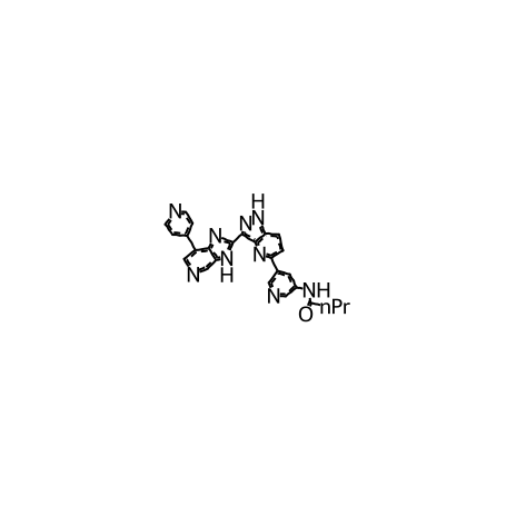 CCCC(=O)Nc1cncc(-c2ccc3[nH]nc(-c4nc5c(-c6ccncc6)cncc5[nH]4)c3n2)c1